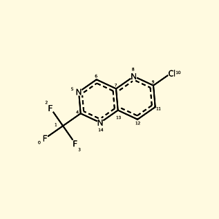 FC(F)(F)c1ncc2nc(Cl)ccc2n1